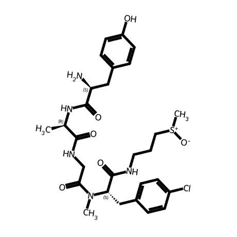 C[C@@H](NC(=O)[C@@H](N)Cc1ccc(O)cc1)C(=O)NCC(=O)N(C)[C@@H](Cc1ccc(Cl)cc1)C(=O)NCCC[S+](C)[O-]